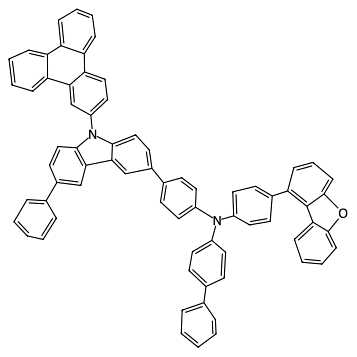 c1ccc(-c2ccc(N(c3ccc(-c4ccc5c(c4)c4cc(-c6ccccc6)ccc4n5-c4ccc5c6ccccc6c6ccccc6c5c4)cc3)c3ccc(-c4cccc5oc6ccccc6c45)cc3)cc2)cc1